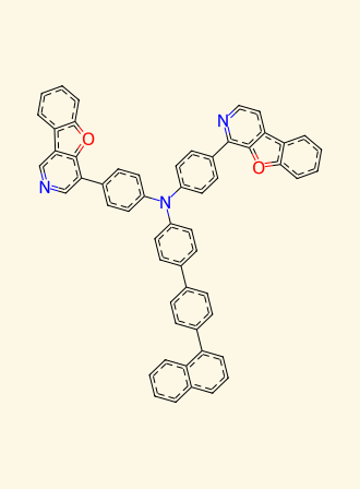 c1ccc2c(-c3ccc(-c4ccc(N(c5ccc(-c6cncc7c6oc6ccccc67)cc5)c5ccc(-c6nccc7c6oc6ccccc67)cc5)cc4)cc3)cccc2c1